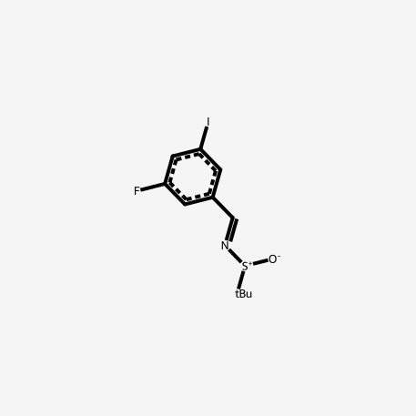 CC(C)(C)[S+]([O-])/N=C/c1cc(F)cc(I)c1